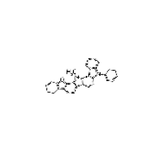 Cn1c2c(ccc3c4c(oc32)C=CCC4)c2ccc3c(c4ccccc4n3C3=CC=CCC3)c21